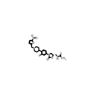 CC(=S)NC[C@H]1CN(c2ccc(C3CCN(Cc4ccc([N+](=O)[O-])o4)CC3)c(F)c2)C(=O)O1